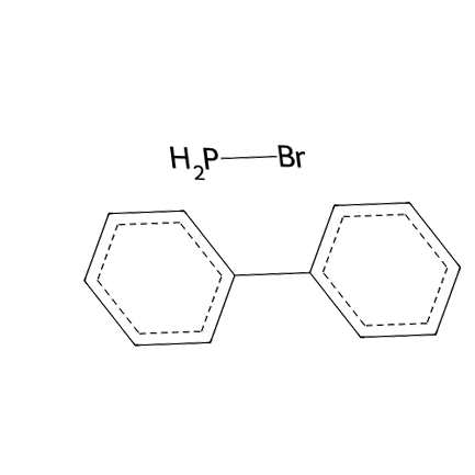 PBr.c1ccc(-c2ccccc2)cc1